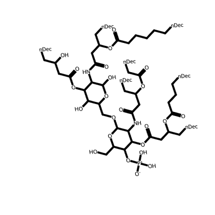 CCCCCCCCCCCCCCCC(=O)OC(CCCCCCCCCCC)CC(=O)NC1C(O)OC(COC2OC(CO)C(O[P+]([O-])(O)O)C(OC(=O)CC(CCCCCCCCCCC)OC(=O)CCCCCCCCCCCCC)C2NC(=O)CC(CCCCCCCCCCC)OC(=O)CCCCCCCCCCC)C(O)C1OC(=O)CC(O)CCCCCCCCCCC